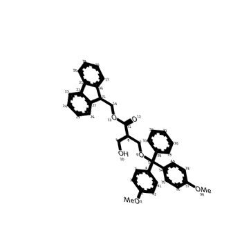 COc1ccc(C(OCC(CO)C(=O)OCC2c3ccccc3-c3ccccc32)(c2ccccc2)c2ccc(OC)cc2)cc1